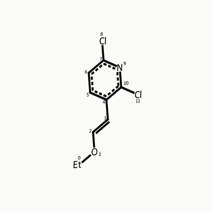 CCOC=Cc1ccc(Cl)nc1Cl